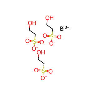 O=S(=O)([O-])CCO.O=S(=O)([O-])CCO.O=S(=O)([O-])CCO.[Bi+3]